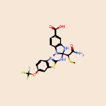 CSC(C(N)=O)C1(Nc2nc3ccc(OC(F)(F)F)cc3s2)Nc2cc(C(=O)O)ccc2N1C